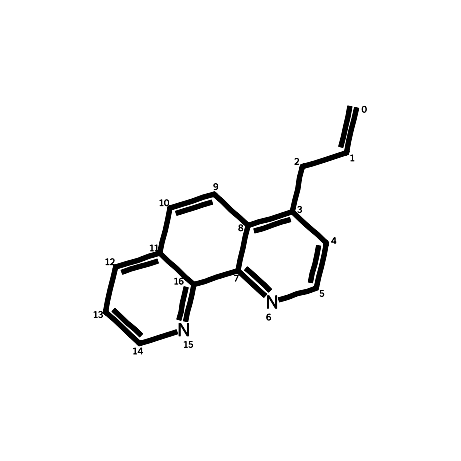 C=CCc1ccnc2c1ccc1cccnc12